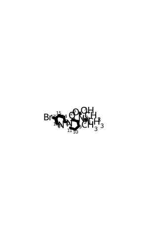 CC(C)(C)N(C(=O)O)C1CCCN(c2ccc(Br)cn2)C1=O